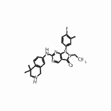 Cc1cc(-n2c3nc(Nc4ccc5c(c4)CNCC5(C)C)ncc3c(=O)n2CC(F)(F)F)ccc1F